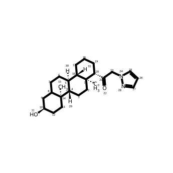 C[C@]12CC[C@H]3[C@@H](CCC4C[C@H](O)CC[C@@]43C)[C@@H]1CCC[C@@H]2C(=O)Cn1cccn1